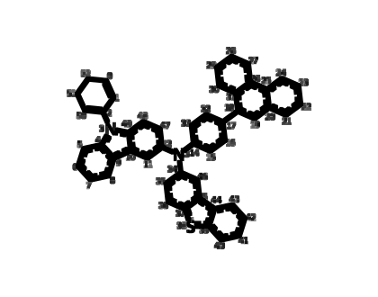 C1=CC(n2c3ccccc3c3cc(N(c4ccc(-c5cc6ccccc6c6ccccc56)cc4)c4ccc5sc6ccccc6c5c4)ccc32)=CCC1